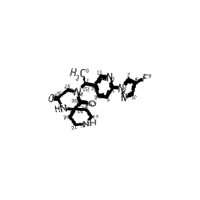 C[C@@H](c1ccc(-n2cc(F)cn2)nc1)N1CC(=O)NC2(CCNCC2)C1=O